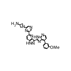 COc1cccc(-c2ccnc3[nH]c(-c4n[nH]c5ccc(-c6cncc(N7CC(N)C7)n6)nc45)nc23)c1